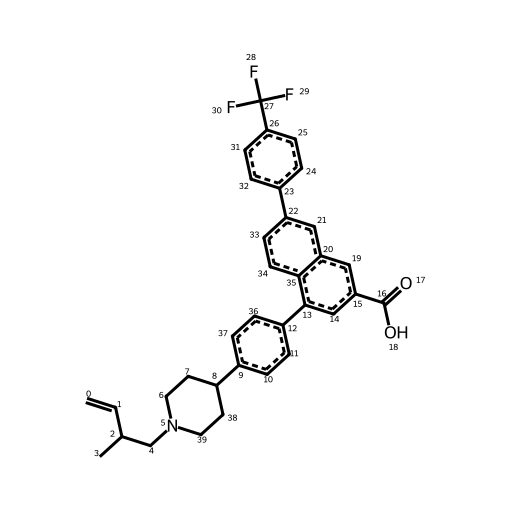 C=CC(C)CN1CCC(c2ccc(-c3cc(C(=O)O)cc4cc(-c5ccc(C(F)(F)F)cc5)ccc34)cc2)CC1